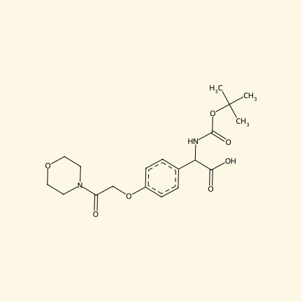 CC(C)(C)OC(=O)NC(C(=O)O)c1ccc(OCC(=O)N2CCOCC2)cc1